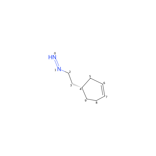 N=NCC[C@@H]1CC=CCC1